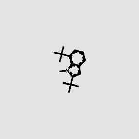 Cn1c(C(C)(C)C)cc2cccc(C(C)(C)C)c21